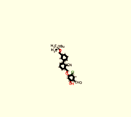 CC(C)(C)[Si](C)(C)OCc1cccc(-c2cccc(COc3cc(O)c(C=O)cc3Cl)c2C#N)c1